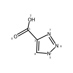 O=C(O)C1=C[N]N=N1